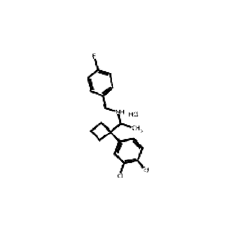 CC(NCc1ccc(F)cc1)C1(c2ccc(Cl)c(Cl)c2)CCC1.Cl